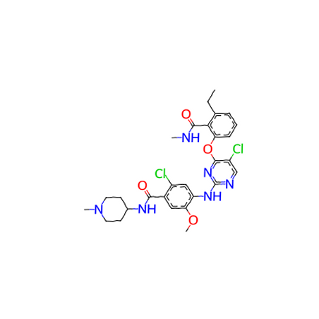 CCc1cccc(Oc2nc(Nc3cc(Cl)c(C(=O)NC4CCN(C)CC4)cc3OC)ncc2Cl)c1C(=O)NC